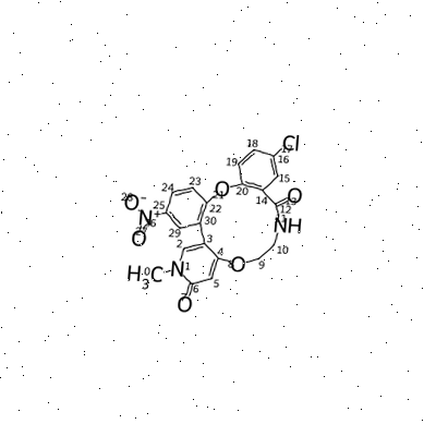 Cn1cc2c(cc1=O)OCCNC(=O)c1cc(Cl)ccc1Oc1ccc([N+](=O)[O-])cc1-2